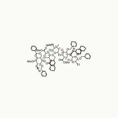 CCC1O[C@@H](O[C@H]2C(C(=O)OC)O[C@@H](O[C@@H]3C(COC(=O)c4ccccc4)O[C@H](OC)C(N=[N+]=[N-])[C@@H]3OCc3ccccc3)C(OC(=O)c3ccccc3)[C@H]2OCc2ccccc2)C(N=[N+]=[N-])[C@@H](C)[C@@H]1O[C@@H]1OC(C(=O)OC)[C@@H](O[C@H]2OC(CC)[C@@H](OCc3ccccc3)[C@@H](OCc3ccccc3)C2N=[N+]=[N-])[C@@H](OCc2ccccc2)C1OCc1ccccc1